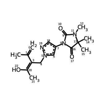 C=C(C)/C(Cn1cc(N2C(=O)N(C)C(C)(C)C2=O)cn1)=C(/C)O